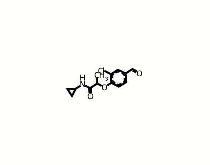 CC(Oc1ccc(C=O)cc1Cl)C(=O)NC1CC1